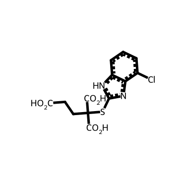 O=C(O)CCC(Sc1nc2c(Cl)cccc2[nH]1)(C(=O)O)C(=O)O